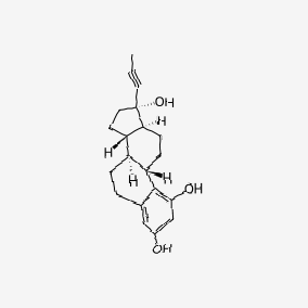 CC#C[C@]1(O)CC[C@H]2[C@@H]3CCc4cc(O)cc(O)c4[C@H]3CC[C@@H]21